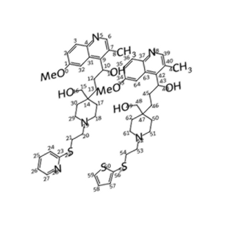 COc1ccc2ncc(C)c(C(O)CCC3(CO)CCN(CCSc4ccccn4)CC3)c2c1.COc1ccc2ncc(C)c(C(O)CCC3(CO)CCN(CCSc4cccs4)CC3)c2c1